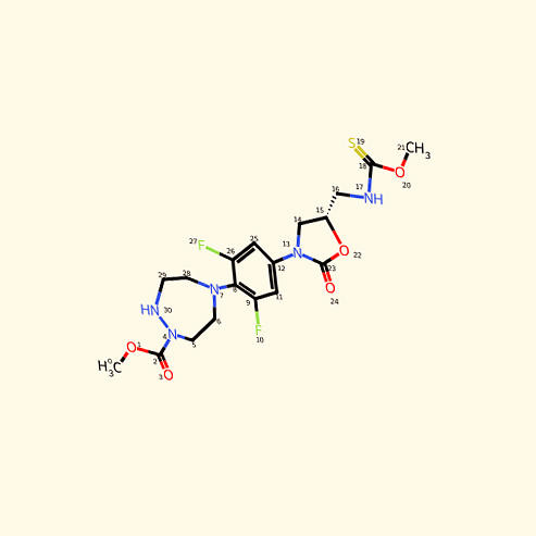 COC(=O)N1CCN(c2c(F)cc(N3C[C@H](CNC(=S)OC)OC3=O)cc2F)CCN1